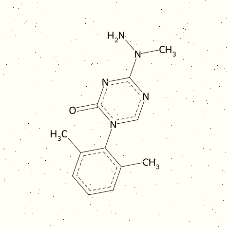 Cc1cccc(C)c1-n1cnc(N(C)N)nc1=O